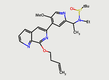 C=CCCOc1nc(-c2cc(C(C)N(CC)[S+]([O-])C(C)(C)C)ncc2OC)cc2cccnc12